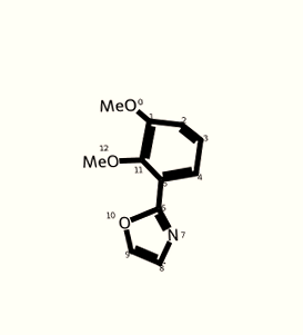 COc1cccc(-c2n[c]co2)c1OC